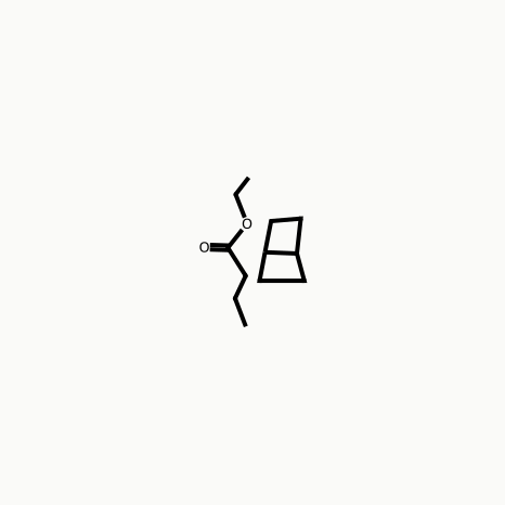 C1CC2CCC12.CCCC(=O)OCC